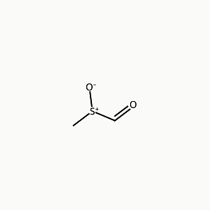 C[S+]([O-])C=O